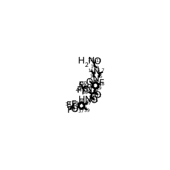 COc1c(N2CC(C)N(CCC(N)=O)C(C)C2)c(F)cc2c(=O)c(C(=O)NCc3ccc(OC(F)(F)F)cc3C)cn(CC(F)(F)F)c12